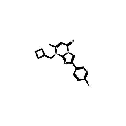 Cc1cc(=O)n2cc(-c3ccc(Cl)cc3)nc2n1CC1CCC1